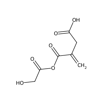 C=C(CC(=O)O)C(=O)OC(=O)CO